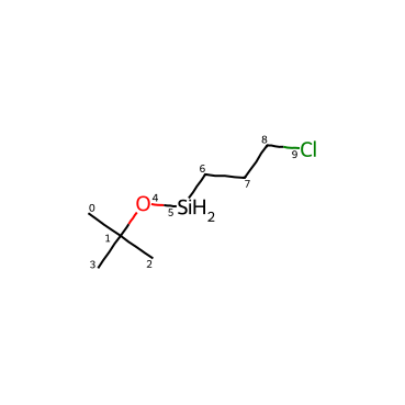 CC(C)(C)O[SiH2]CCCCl